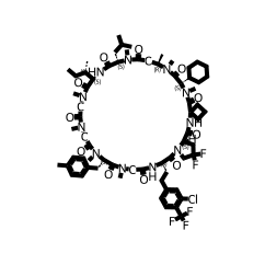 CC[C@H](C)[C@@H]1NC(=O)[C@H](CC(C)C)N(C)C(=O)C[C@@H](C)N(C)C(=O)[C@H](C2CCCCC2)N(C)C(=O)C2(CCC2)NC(=O)[C@@H]2CC(F)(F)CN2C(=O)[C@H](CCc2ccc(C(F)(F)F)c(Cl)c2)NC(=O)CN(C)C(=O)[C@H](Cc2ccc(C)cc2)N(C)C(=O)CN(C)C(=O)CN(C)C1=O